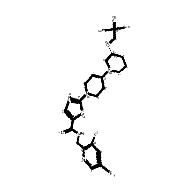 O=C(NCc1ncc(F)cc1F)c1cnc(N2CCC(N3CCC[C@@H](OCC(F)(F)F)C3)CC2)s1